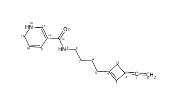 C=C=C1C=C(CCCCNC(=O)C2=CNCC=C2)C1